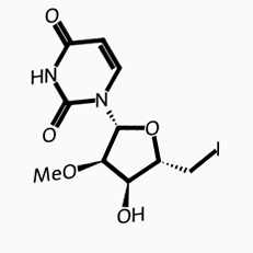 CO[C@@H]1[C@H](O)[C@@H](CI)O[C@H]1n1ccc(=O)[nH]c1=O